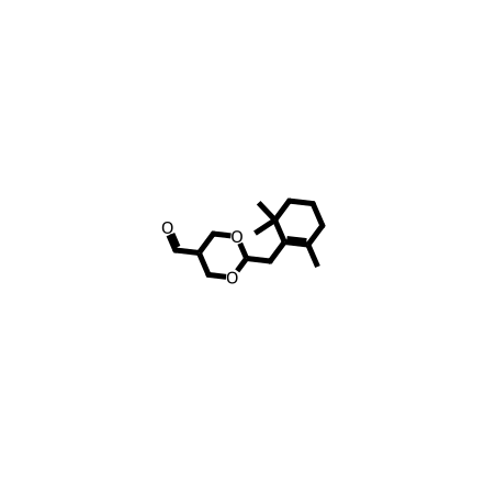 CC1=C(CC2OCC(C=O)CO2)C(C)(C)CCC1